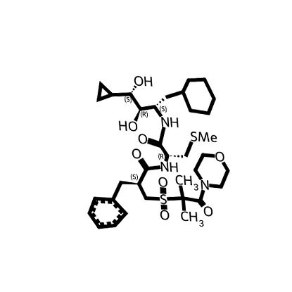 CSC[C@H](NC(=O)[C@H](Cc1ccccc1)CS(=O)(=O)C(C)(C)C(=O)N1CCOCC1)C(=O)N[C@@H](CC1CCCCC1)[C@@H](O)[C@@H](O)C1CC1